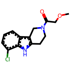 COCC(=O)N1CCc2[nH]c3c(Cl)cccc3c2C1